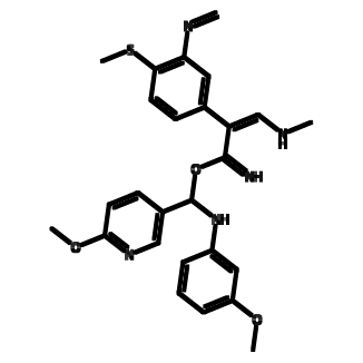 C=Nc1cc(/C(=C/NC)C(=N)OC(Nc2cccc(OC)c2)c2ccc(OC)nc2)ccc1SC